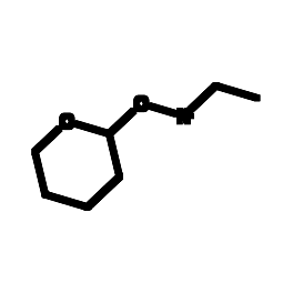 CC[N]OC1CCCCO1